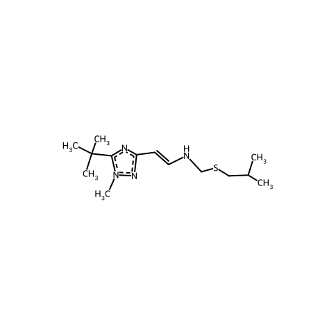 CC(C)CSCN/C=C/c1nc(C(C)(C)C)n(C)n1